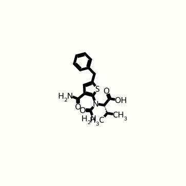 CC(C)[C@@H](C(=O)O)N(C(N)=O)c1sc(Cc2ccccc2)cc1C(N)=O